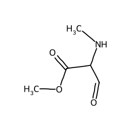 CNC(C=O)C(=O)OC